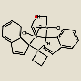 C[CH]=[Ti]([Cl])([Cl])([C]1([Si]2(C)CCC2)C=Cc2ccccc21)[C]1([Si]2(C)CCC2)C=Cc2ccccc21